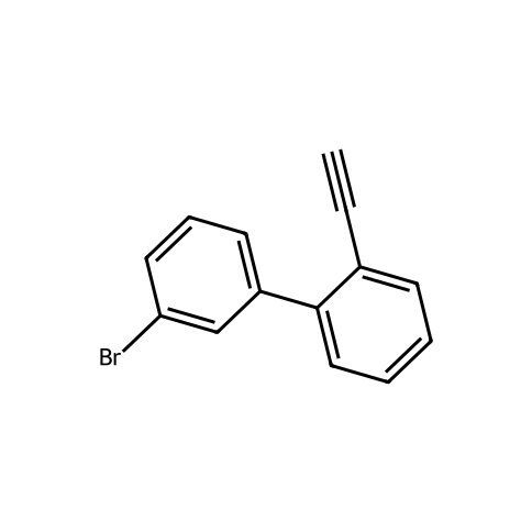 C#Cc1ccccc1-c1cccc(Br)c1